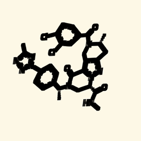 CNC(=O)[C@@H]1CN([C@H](C)c2ccc(-n3nnc(C)n3)cc2)C(=O)c2c3c(nn21)C[C@@H](C)N(C(=O)c1ccc(Cl)c(Cl)c1)C3